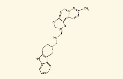 Cc1ccc2c3c(ccc2n1)OC[C@H](CNCC1CCc2[nH]c4ccccc4c2C1)O3